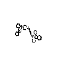 O=C1C2CC=CCC2C(=O)N1CC#CCN1CCN(c2ccccc2OC2CCCC2)CC1